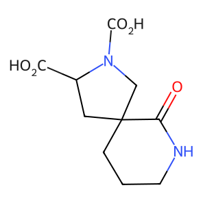 O=C(O)C1CC2(CCCNC2=O)CN1C(=O)O